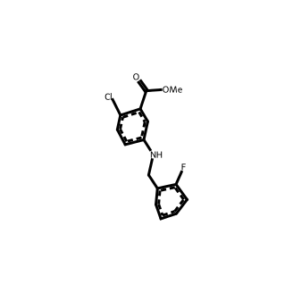 COC(=O)c1cc(NCc2ccccc2F)ccc1Cl